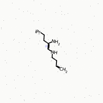 C=CCCN/C=C(\N)CCC(C)C